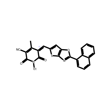 CCN1C(=O)C(C#N)=C(C)/C(=C/c2cc3oc(-c4cccc5ccccc45)nc3s2)C1=O